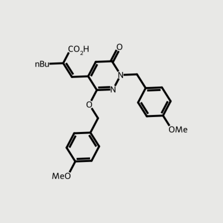 CCCCC(=Cc1cc(=O)n(Cc2ccc(OC)cc2)nc1OCc1ccc(OC)cc1)C(=O)O